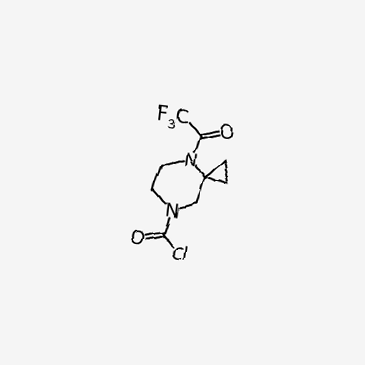 O=C(Cl)N1CCN(C(=O)C(F)(F)F)C2(CC2)C1